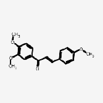 COc1ccc(/C=C/C(=O)c2ccc(OC)c(OC)c2)cc1